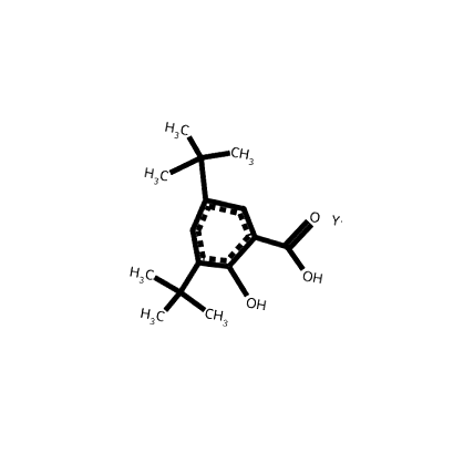 CC(C)(C)c1cc(C(=O)O)c(O)c(C(C)(C)C)c1.[Y]